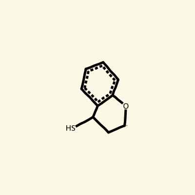 SC1C[CH]Oc2ccccc21